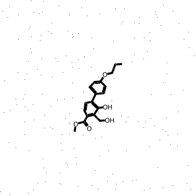 CCCOc1ccc(-c2ccc(C(=O)OC)c(CO)c2O)cc1